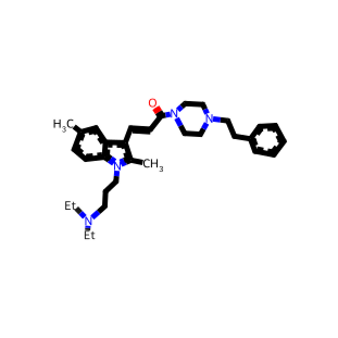 CCN(CC)CCCn1c(C)c(/C=C/C(=O)N2CCN(CCc3ccccc3)CC2)c2cc(C)ccc21